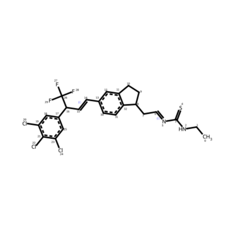 CCNC(=S)/N=C/CC1CCc2cc(/C=C/C(c3cc(Cl)c(Cl)c(Cl)c3)C(F)(F)F)ccc21